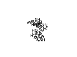 CC(C)OC(=O)[C@@H](C)NP(=O)(O)OOc1ccccc1OC[C@H]1O[C@@H](n2c(=O)cc[nH]c2=O)[C@](C)(Cl)[C@@H]1O